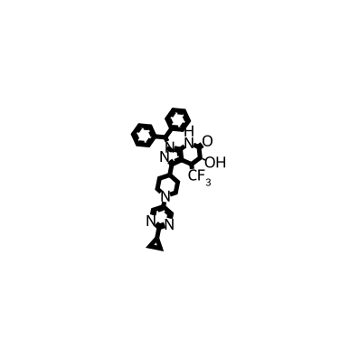 O=C1Nc2c(c(C3CCN(c4cnc(C5CC5)nc4)CC3)nn2C(c2ccccc2)c2ccccc2)C(C(F)(F)F)[C@H]1O